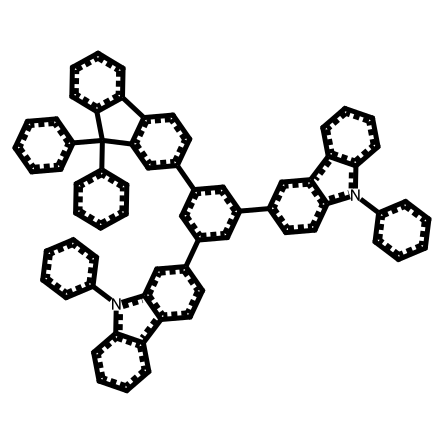 c1ccc(-n2c3ccccc3c3cc(-c4cc(-c5ccc6c(c5)C(c5ccccc5)(c5ccccc5)c5ccccc5-6)cc(-c5ccc6c7ccccc7n(-c7ccccc7)c6c5)c4)ccc32)cc1